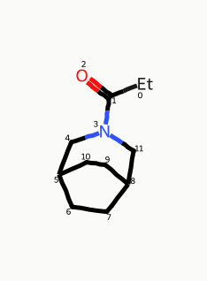 CCC(=O)N1CC2CCC(CC2)C1